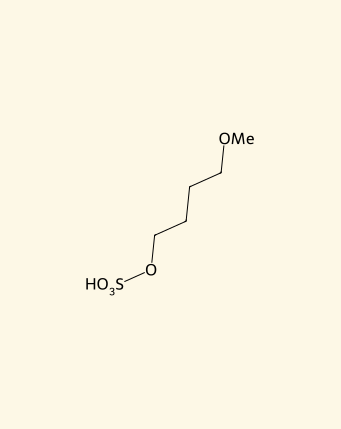 COCCCCOS(=O)(=O)O